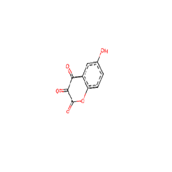 O=C1Oc2ccc(O)cc2C(=O)C1=O